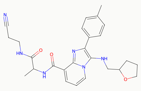 Cc1ccc(-c2nc3c(C(=O)NC(C)C(=O)NCCC#N)cccn3c2NCC2CCCO2)cc1